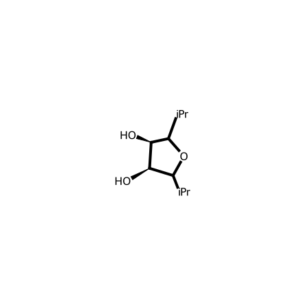 CC(C)C1OC(C(C)C)[C@H](O)[C@@H]1O